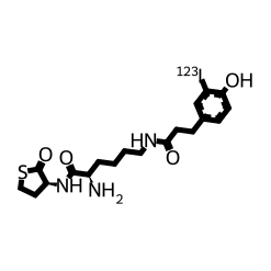 N[C@@H](CCCCNC(=O)CCc1ccc(O)c([123I])c1)C(=O)N[C@H]1CCSC1=O